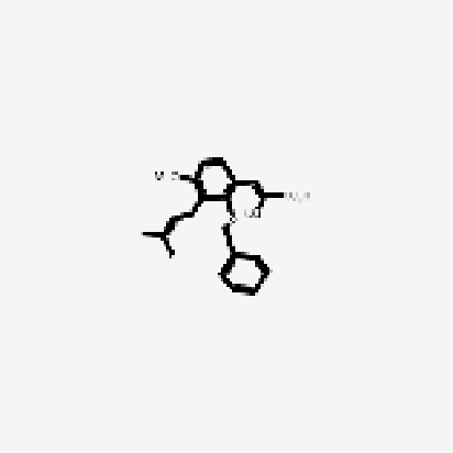 COc1ccc(C=C(C(=O)O)C(C)(C)C)c(OCc2ccccc2)c1CC=C(C)C